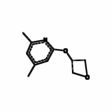 Cc1cc(C)nc(OC2COC2)c1